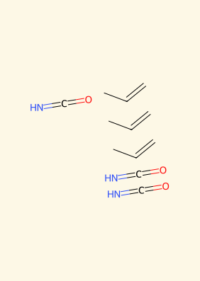 C=CC.C=CC.C=CC.N=C=O.N=C=O.N=C=O